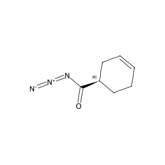 [N-]=[N+]=NC(=O)[C@H]1CC=CCC1